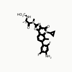 Cc1c(-c2cc(F)c(N)cc2F)ccc2c3oc(N(C)C(=O)[C@H](C)NC(=O)O)nc3c(=O)n(C3CC3)c12